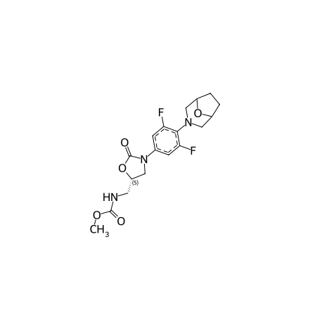 COC(=O)NC[C@H]1CN(c2cc(F)c(N3CC4CCC(C3)O4)c(F)c2)C(=O)O1